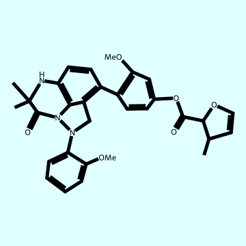 COc1cc(OC(=O)C2OC=CC2C)ccc1-c1ccc2c3c1CN(c1ccccc1OC)N3C(=O)C(C)(C)N2